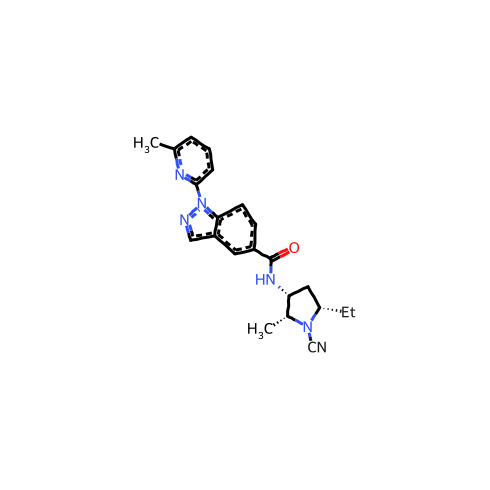 CC[C@H]1C[C@@H](NC(=O)c2ccc3c(cnn3-c3cccc(C)n3)c2)[C@@H](C)N1C#N